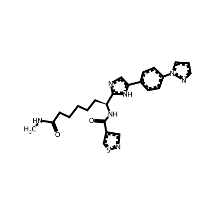 CNC(=O)CCCCC[C@H](NC(=O)c1cnsc1)c1ncc(-c2ccc(-n3cccn3)cc2)[nH]1